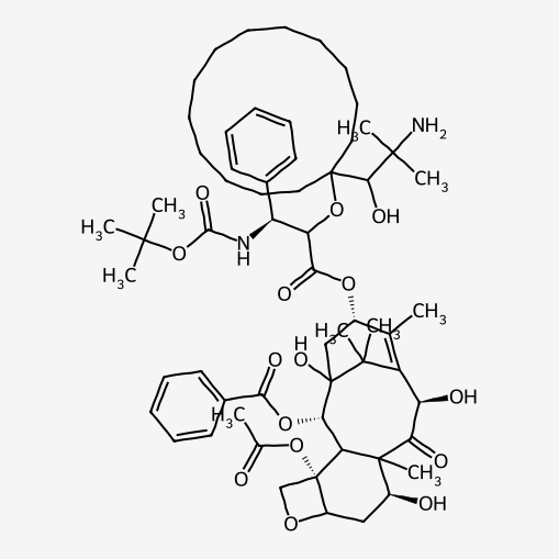 CC(=O)O[C@@]12COC1C[C@H](O)C1(C)C(=O)[C@H](O)C3=C(C)[C@@H](OC(=O)C(OC4(C(O)C(C)(C)N)CCCCCCCCCCCCC4)[C@@H](NC(=O)OC(C)(C)C)c4ccccc4)CC(O)([C@@H](OC(=O)c4ccccc4)C12)C3(C)C